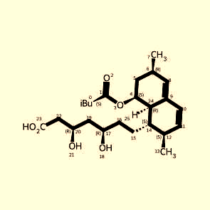 CC[C@H](C)C(=O)O[C@H]1C[C@@H](C)C=C2C=C[C@@H](C)[C@H](CC[C@@H](O)C[C@@H](O)CC(=O)O)[C@H]21